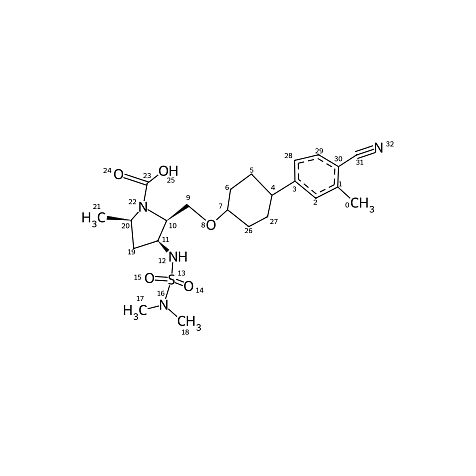 Cc1cc(C2CCC(OC[C@H]3[C@@H](NS(=O)(=O)N(C)C)C[C@@H](C)N3C(=O)O)CC2)ccc1C#N